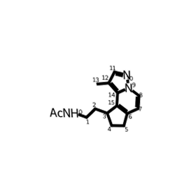 CC(=O)NCCC1CCc2ccn3ncc(C)c3c21